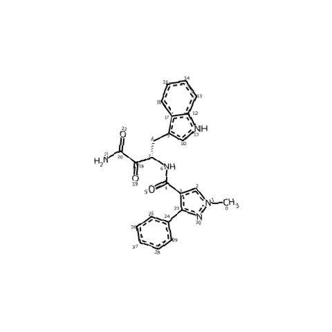 Cn1cc(C(=O)N[C@@H](Cc2c[nH]c3ccccc23)C(=O)C(N)=O)c(-c2ccccc2)n1